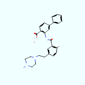 CCN1CCN(CCc2ccc(O)c(C(=O)Nc3cc(-c4ccccc4)ccc3C(=O)OC(C)(C)C)c2)CC1